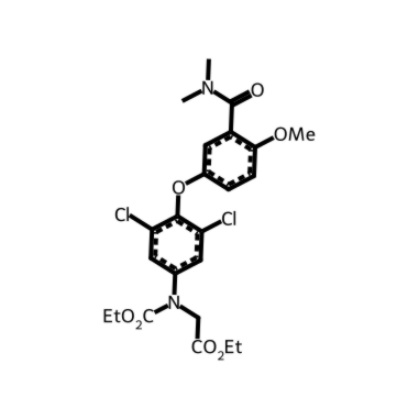 CCOC(=O)CN(C(=O)OCC)c1cc(Cl)c(Oc2ccc(OC)c(C(=O)N(C)C)c2)c(Cl)c1